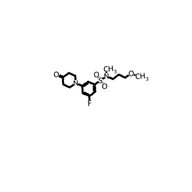 COCCCN(C)S(=O)(=O)c1cc(F)cc(N2CCC(=O)CC2)c1